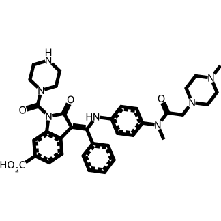 CN1CCN(CC(=O)N(C)c2ccc(N/C(=C3\C(=O)N(C(=O)N4CCNCC4)c4cc(C(=O)O)ccc43)c3ccccc3)cc2)CC1